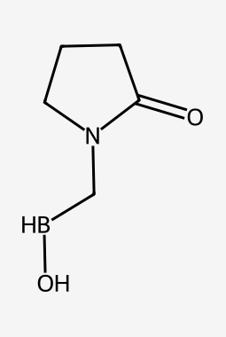 O=C1CCCN1CBO